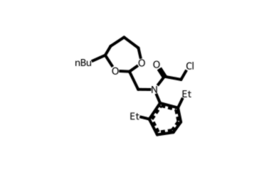 CCCCC1CCCOC(CN(C(=O)CCl)c2c(CC)cccc2CC)O1